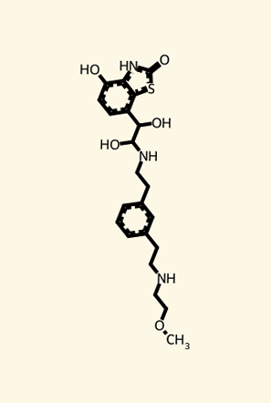 COCCNCCc1cccc(CCNC(O)C(O)c2ccc(O)c3[nH]c(=O)sc23)c1